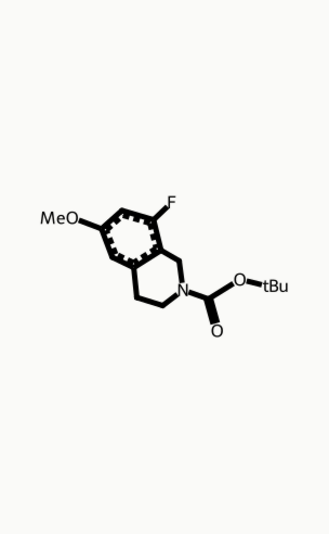 COc1cc(F)c2c(c1)CCN(C(=O)OC(C)(C)C)C2